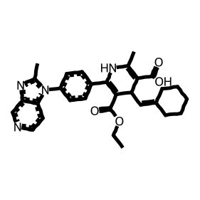 CCOC(=O)C1=C(c2ccc(-n3c(C)nc4cnccc43)cc2)NC(C)=C(C(=O)O)C1C=C1CCCCC1